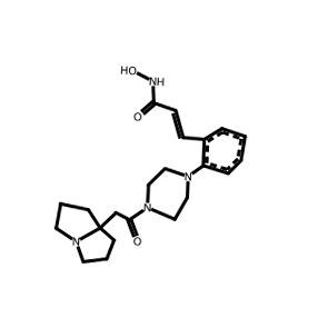 O=C(C=Cc1ccccc1N1CCN(C(=O)CC23CCCN2CCC3)CC1)NO